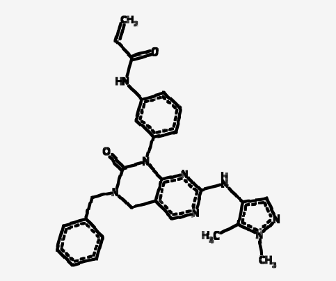 C=CC(=O)Nc1cccc(N2C(=O)N(Cc3ccccc3)Cc3cnc(Nc4cnn(C)c4C)nc32)c1